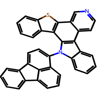 c1ccc2c(c1)-c1cccc3c(-n4c5ccccc5c5c6ccncc6c6sc7ccccc7c6c54)ccc-2c13